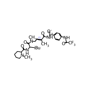 CCC(C)C(NC(=O)C1CCCCN1C)C(=O)N(C)C/C=C(\C)C(=O)N[S+]([O-])c1ccc(NC(=O)C(F)(F)F)cc1